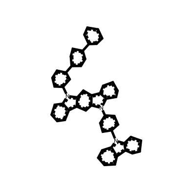 c1ccc(-c2ccc(-c3cccc(-n4c5ccccc5c5cc6c(cc54)c4ccccc4n6-c4ccc(-n5c6ccccc6c6ccccc65)cc4)c3)cc2)cc1